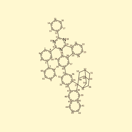 c1ccc(-c2cccc(-c3nc(-c4ccccc4)nc(-c4ccccc4-c4cccc(-c5ccc6c(c5)C5(c7cc8ccccc8cc7-6)C6CC7CC(C6)CC5C7)c4)n3)c2)cc1